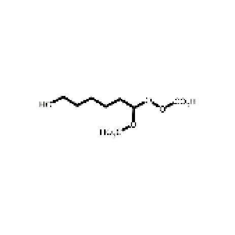 O=C(O)OOC(CCCCCO)OC(=O)O